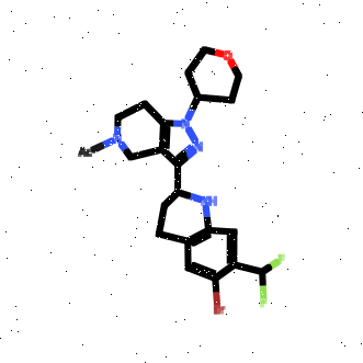 CC(=O)N1CCc2c(c(C3CCc4cc(Br)c(C(F)F)cc4N3)nn2C2CCOCC2)C1